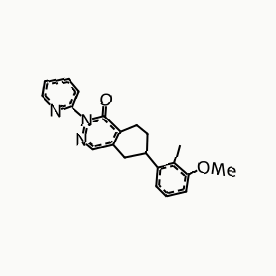 COc1cccc(C2CCc3c(cnn(-c4ccccn4)c3=O)C2)c1C